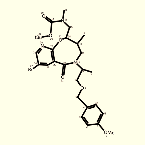 COc1ccc(COCC(C)N2CC(C)C(CN(C)C(=O)OC(C)(C)C)Oc3ncc(Br)cc3C2=O)cc1